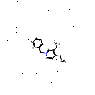 CCc1cc[n+](Cc2ccccc2)cc1CC